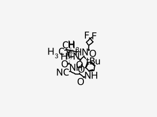 CC(C)(C)C(NC(=O)C1CC(F)(F)C1)C(=O)N1C[C@H]2[C@@H]([C@H]1C(=O)NC(C#N)CC1Oc3ccccc3NC1=O)C2(C)C